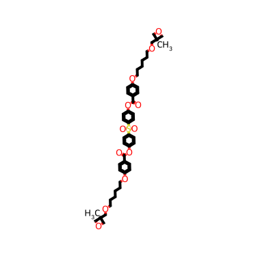 CC1(COCCCCCCOc2ccc(C(=O)Oc3ccc(S(=O)(=O)c4ccc(OC(=O)c5ccc(OCCCCCCOCC6(C)COC6)cc5)cc4)cc3)cc2)COC1